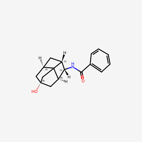 O=C(N[C@@H]1[C@@H]2C[C@@H]3C[C@H]1C[C@](O)(C3)C2)c1ccccc1